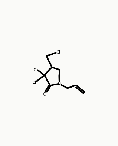 C=CCN1CC(CCl)C(Cl)(Cl)C1=O